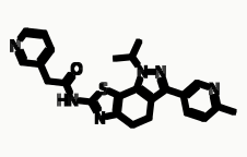 Cc1ccc(-c2nn(C(C)C)c3c2CCc2nc(NC(=O)Cc4cccnc4)sc2-3)cn1